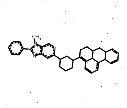 Cn1c(-c2ccccc2)nc2cc(C3CCCC(C4=C5C=CC=C6C7C=CC=CC7CC(CC4)C65)C3)ccc21